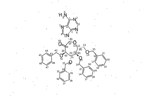 Nc1ncnc2c1ncn2[C@@H]1O[C@H](COCc2ccccc2)[C@@H](OCc2ccccc2)[C@H](OCc2ccccc2)[C@@H](OCc2ccccc2)C1=O